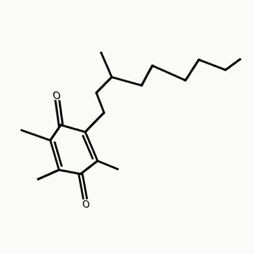 CCCCCCC(C)CCC1=C(C)C(=O)C(C)=C(C)C1=O